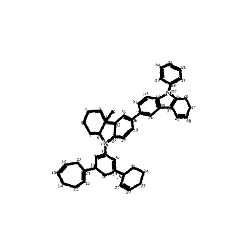 CC12CCCCC1N(C1=CC(C3=CCCC=CC3)CC(C3C=CCCC3)=C1)C1C=CC(c3ccc4c(c3)c3c(n4-c4ccccc4)CCC=C3)=CC12